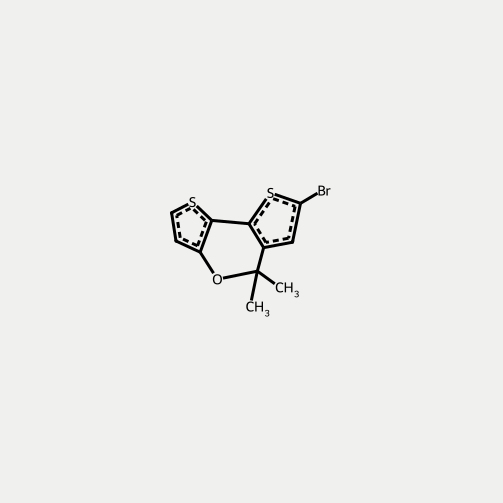 CC1(C)Oc2ccsc2-c2sc(Br)cc21